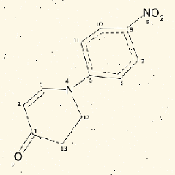 O=C1C=CN(c2ccc([N+](=O)[O-])cc2)CC1